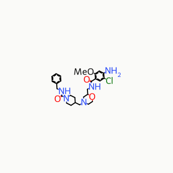 COc1cc(N)c(Cl)cc1C(=O)NCC1CN(CC2CCN(C(=O)NCc3ccccc3)CC2)CCO1